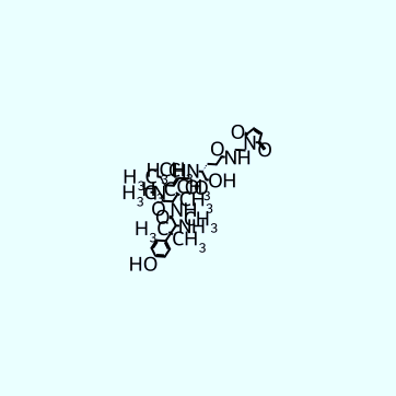 CNC(C(=O)N[C@H](C(=O)N(C)[C@H](/C=C(\C)C(=O)N[C@H](CCC(=O)NCCN1C(=O)C=CC1=O)C(=O)O)C(C)C)C(C)(C)C)C(C)(C)c1ccc(O)cc1